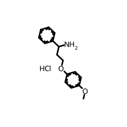 COc1ccc(OCCC(N)c2ccccc2)cc1.Cl